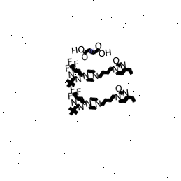 CCc1ccn(CCCCN2CCN(c3cc(C(F)(F)F)nc(C(C)(C)C)n3)CC2)c(=O)n1.CCc1ccn(CCCCN2CCN(c3cc(C(F)(F)F)nc(C(C)(C)C)n3)CC2)c(=O)n1.O=C(O)/C=C/C(=O)O